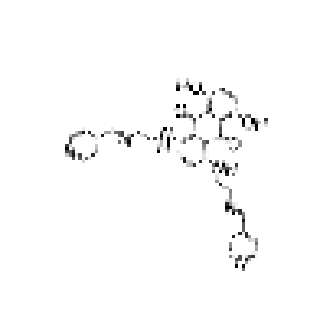 O=C1c2c(O)ccc(O)c2C(=O)c2c(NCCN=Cc3ccncc3)ccc(NCCN=Cc3ccncc3)c21